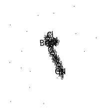 CCC(C)n1ncn(-c2ccc(N3CCN(c4ccc(OC[C@@H]5CO[C@@](Cn6nccn6)(c6cc(Cl)ccc6Br)O5)cc4)CC3)cc2)c1=O